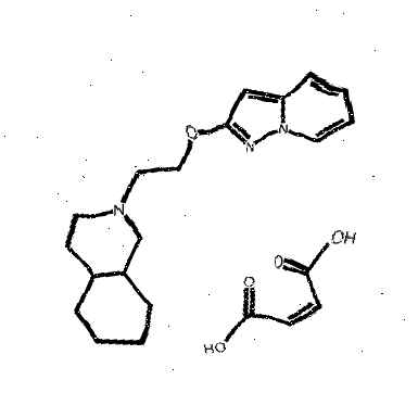 O=C(O)/C=C\C(=O)O.c1ccn2nc(OCCN3CCC4CCCCC4C3)cc2c1